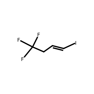 FC(F)(F)CC=CI